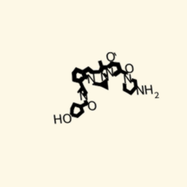 COc1cc(C(=O)N2CCCC(N)C2)cn2nc(-c3cc4cccc(C5CN(C(=O)C6CCC(O)CC6)C5)c4n3CC3CC3)c(C)c12